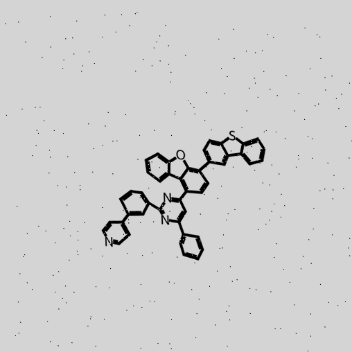 c1ccc(-c2cc(-c3ccc(-c4ccc5sc6ccccc6c5c4)c4oc5ccccc5c34)nc(-c3cccc(-c4ccncc4)c3)n2)cc1